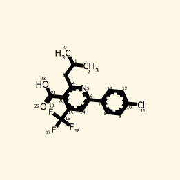 CC(C)Cc1nc(-c2ccc(Cl)cc2)cc(C(F)(F)F)c1C(=O)O